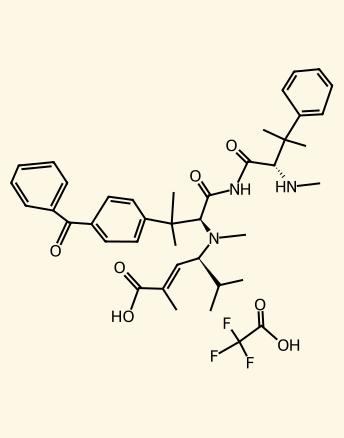 CN[C@H](C(=O)NC(=O)[C@@H](N(C)[C@H](/C=C(\C)C(=O)O)C(C)C)C(C)(C)c1ccc(C(=O)c2ccccc2)cc1)C(C)(C)c1ccccc1.O=C(O)C(F)(F)F